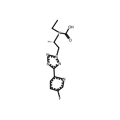 CCN(C(=O)O)[C@@H](C)Cn1nnc(-c2ccc(F)cn2)n1